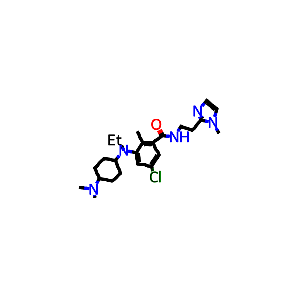 CCN(c1cc(Cl)cc(C(=O)NCCc2nccn2C)c1C)C1CCC(N(C)C)CC1